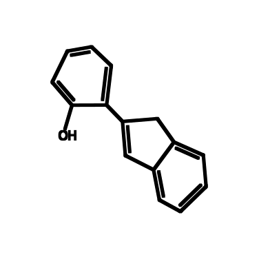 Oc1ccccc1C1=Cc2ccccc2C1